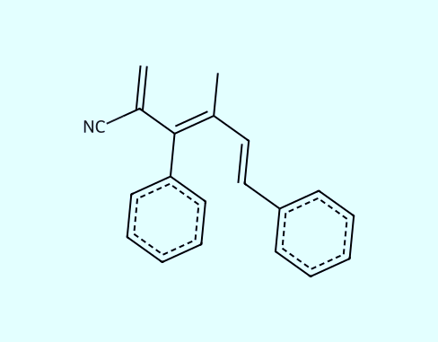 C=C(C#N)C(=C(C)C=Cc1ccccc1)c1ccccc1